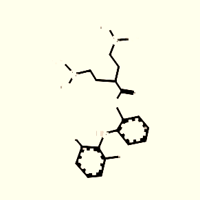 CCCN(CCC)CCC(CCN(CCC)CCC)C(=O)Oc1ccccc1Nc1c(Cl)cccc1Cl